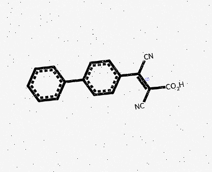 N#C/C(C(=O)O)=C(/C#N)c1ccc(-c2ccccc2)cc1